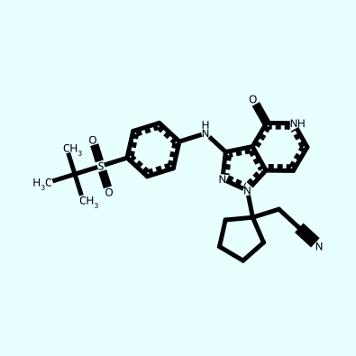 CC(C)(C)S(=O)(=O)c1ccc(Nc2nn(C3(CC#N)CCCC3)c3cc[nH]c(=O)c23)cc1